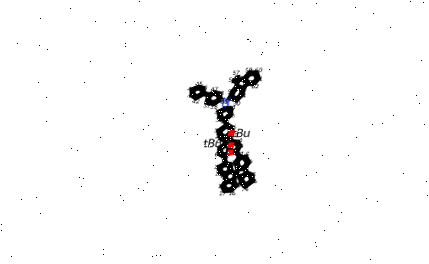 CC(C)(C)CC(c1ccc(-c2ccc3c(c2)C2(c4ccccc4-c4ccc(-c5ccc(-c6ccc(-c7ccc(N(c8ccc(-c9ccccc9)cc8)c8ccc9c(c8)C(C)(C)c8ccccc8-9)cc7)cc6)cc5)cc42)c2ccccc2-3)cc1)C(C)(C)C